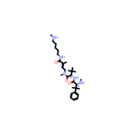 CNCCCCCNC(=O)/C(C)=C/CN(C)C(=O)[C@@H](NC(=O)[C@@H](NC)C(C)(C)c1ccccc1)C(C)(C)C